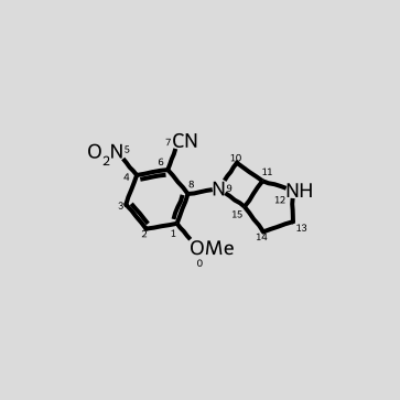 COc1ccc([N+](=O)[O-])c(C#N)c1N1CC2NCCC21